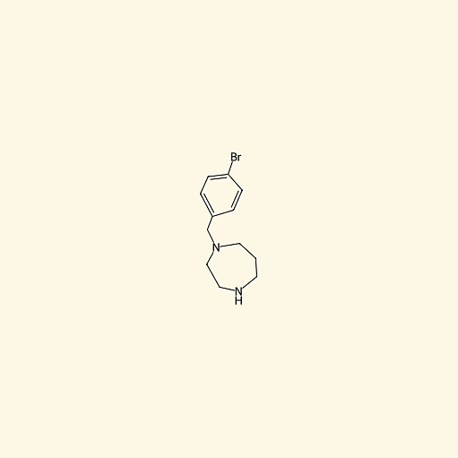 Brc1ccc(CN2CCCNCC2)cc1